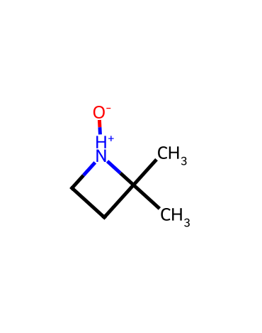 CC1(C)CC[NH+]1[O-]